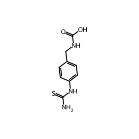 NC(=S)Nc1ccc(CNC(=O)O)cc1